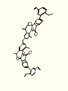 C=Cc1ccc(CC)c(C2=CC3CC2C2C(=O)N(c4c(C)cc(Cc5cc(C)c(N6C(=O)C7C8C=C(c9cc(C=C)ccc9CC)C(C8)C7C6=O)c(C(C)C)c5)cc4C(C)C)C(=O)C32)c1